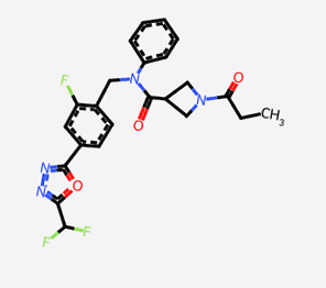 CCC(=O)N1CC(C(=O)N(Cc2ccc(-c3nnc(C(F)F)o3)cc2F)c2ccccc2)C1